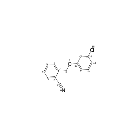 N#Cc1ccccc1COc1cccc(Cl)c1